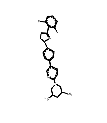 CC1CC(C)CN(c2ccc(-c3ccc(C4CCC(c5c(F)cccc5F)=N4)cc3)cn2)C1